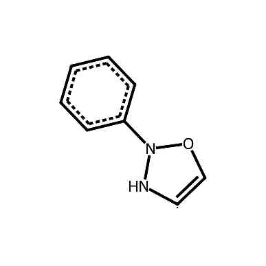 [C]1=CON(c2ccccc2)N1